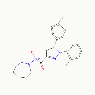 C[C@H]1C(C(=O)[NH+]([O-])N2CCCCCC2)=NN(c2ccccc2Cl)[C@H]1c1ccc(Cl)cc1